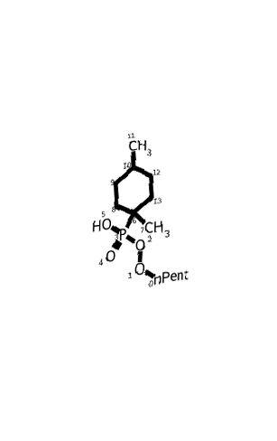 CCCCCOOP(=O)(O)C1(C)CCC(C)CC1